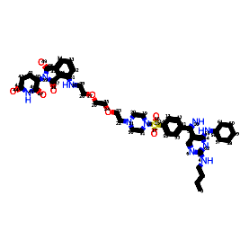 CCCCNc1ncc(C(=N)c2ccc(S(=O)(=O)N3CCN(CCOCCOCCNc4cccc5c4C(=O)N(C4CCC(=O)NC4=O)C5=O)CC3)cc2)c(NC2CCCCC2)n1